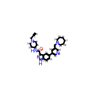 C#CCN1CCC(NC(=O)c2n[nH]c3ccc(-c4cncc(CN5CCCCCC5)c4)cc23)CC1